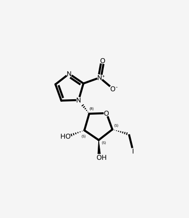 O=[N+]([O-])c1nccn1[C@@H]1O[C@H](CI)[C@@H](O)[C@@H]1O